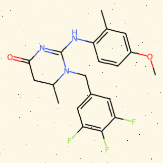 COc1ccc(NC2=NC(=O)CC(C)N2Cc2cc(F)c(F)c(F)c2)c(C)c1